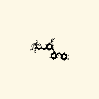 O=P([O-])([O-])C(CCCc1cccc(Oc2ccccc2Cc2ccccc2)c1)S(=O)(=O)[O-].[K+].[K+].[K+]